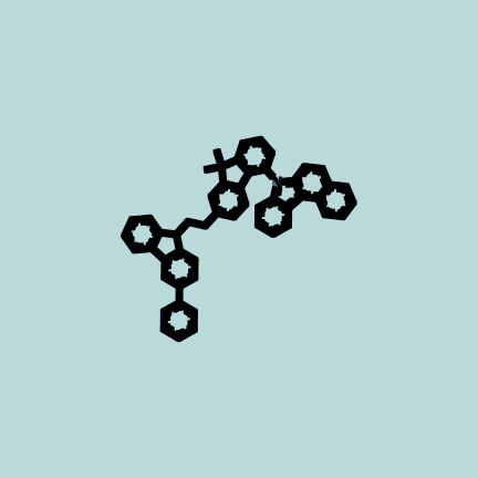 CC1(C)c2cc(CCC3c4ccccc4-c4cc(-c5ccccc5)ccc43)ccc2-c2c(-n3c4ccccc4c4c5ccccc5ccc43)cccc21